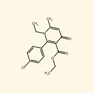 CCOC(=O)c1c(-c2ccc(Cl)cc2)n(CC)c(C)cc1=O